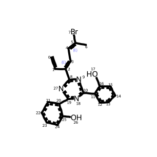 C=C/C(=C\C=C(/C)Br)c1nc(-c2ccccc2O)nc(-c2ccccc2O)n1